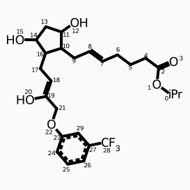 CC(C)OC(=O)CCCC=CCC1C(O)CC(O)C1CC=C(O)COc1cccc(C(F)(F)F)c1